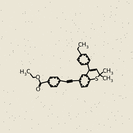 CCOC(=O)c1ccc(C#Cc2ccc3c(c2)C(c2ccc(CC)cc2)=CC(C)(C)S3)cc1